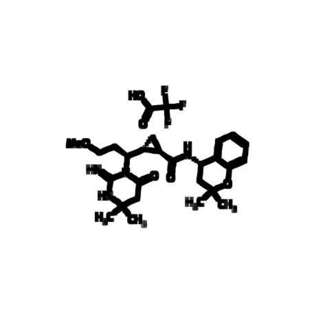 COCC[C@@H]([C@@H]1C[C@H]1C(=O)N[C@H]1CC(C)(C)Oc2ccccc21)N1C(=N)NC(C)(C)CC1=O.O=C(O)C(F)(F)F